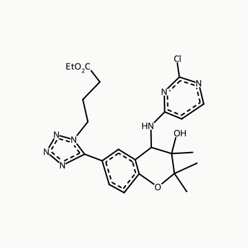 CCOC(=O)CCCn1nnnc1-c1ccc2c(c1)C(Nc1ccnc(Cl)n1)C(C)(O)C(C)(C)O2